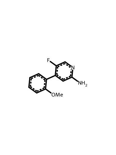 COc1ccccc1-c1cc(N)ncc1F